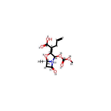 C=CCC(C(=O)O)=C1O[C@@H]2CC(=O)N2C1OC(=O)OC